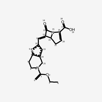 C=C(OCC)N1CCc2sc(/C=C3/C(=O)N4C(C(=O)O)=CCC34)cc2C1